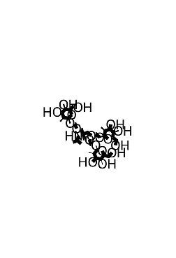 CC(C)NC(COCO[C@@H]1OC(CO)[C@H](O)C(O)[C@@H]1C)(COCO[C@@H]1OC(CO)[C@H](O)C(O)[C@@H]1C)COCO[C@@H]1OC(CO)[C@H](O)C(O)[C@@H]1C